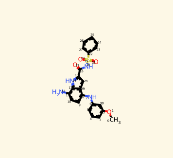 COc1cccc(Nc2ccc(N)c3[nH]c(C(=O)NS(=O)(=O)c4ccccc4)cc23)c1